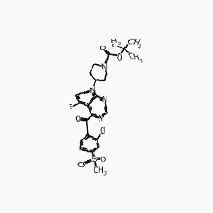 CC(C)(C)OC(=O)N1CCC(n2cc(F)c3c(C(=O)c4ccc(S(C)(=O)=O)cc4Cl)ncnc32)CC1